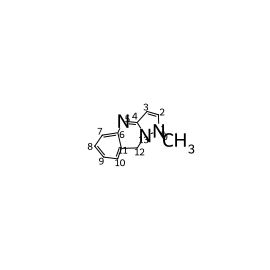 CN1C=CC2=Nc3ccccc3CN21